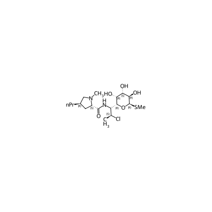 CCC[C@@H]1C[C@@H](C(=O)NC([C@H](C)Cl)[C@H]2O[C@H](SC)[C@H](O)[C@@H](O)[C@H]2O)N(C)C1